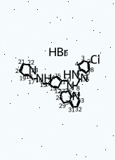 Br.Clc1ccc2[nH]c(CN(Cc3ccc(CNCc4ccccn4)cc3)C3CCCc4cccnc43)nc2c1